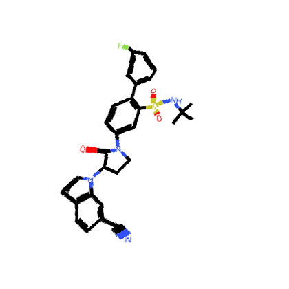 CC(C)(C)NS(=O)(=O)c1cc(N2CCC(n3ccc4ccc(C#N)cc43)C2=O)ccc1-c1cccc(F)c1